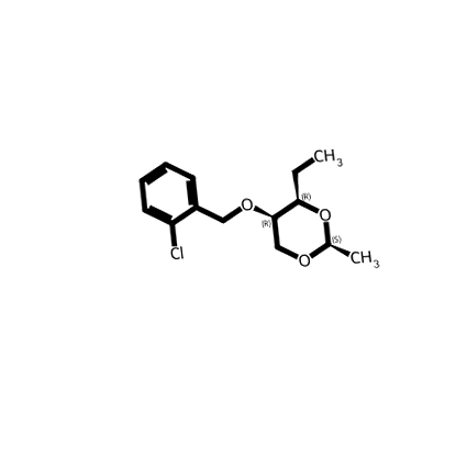 CC[C@H]1O[C@@H](C)OC[C@H]1OCc1ccccc1Cl